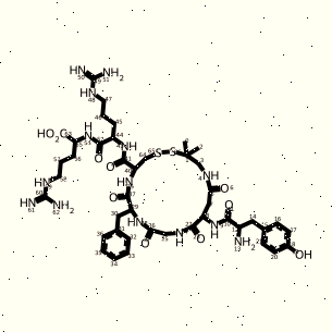 CC1(C)CNC(=O)CC(NC(=O)C(N)Cc2ccc(O)cc2)C(=O)NCC(=O)NC(Cc2ccccc2)C(=O)NC(C(=O)NC(CCCNC(=N)N)C(=O)NC(CCCNC(=N)N)C(=O)O)CSS1